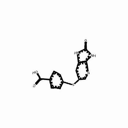 O=C(O)c1ccc(Sc2cnc3[nH]c(=O)[nH]c3c2)cc1